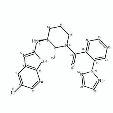 C[C@@H]1[C@@H](Nc2nc3cc(Cl)ccc3o2)CCCN1C(=O)c1ccccc1-n1nccn1